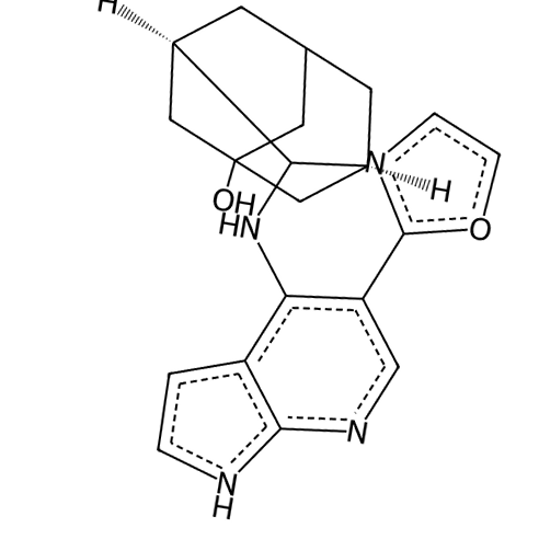 OC12CC3C[C@H](C1)C(Nc1c(-c4ncco4)cnc4[nH]ccc14)[C@@H](C3)C2